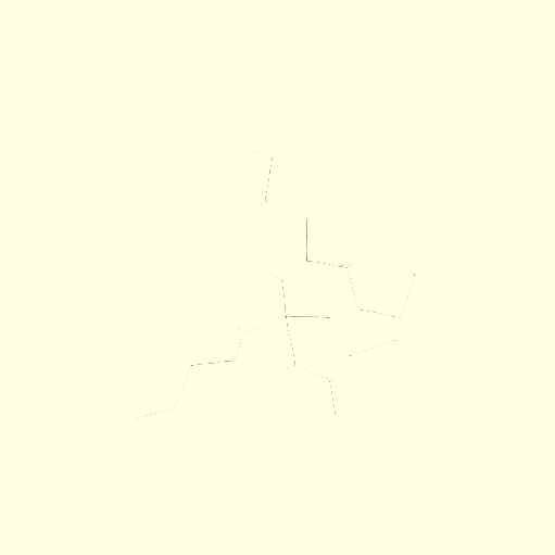 CCCCCC(CCCC)([C](C)C(CCC(C)C)C1CCCC1)C(C)CC